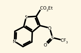 CCOC(=O)c1sc2cnccc2c1OS(=O)C(F)(F)F